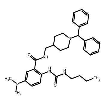 CCCCNC(=O)Nc1ccc(N(C)C)cc1C(=O)NCC1CCN(C(c2ccccc2)c2ccccc2)CC1